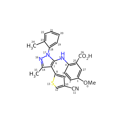 COc1ccc(Nc2c(-c3cc(C#N)cs3)c(C)nn2-c2ccccc2C)c(C(=O)O)c1